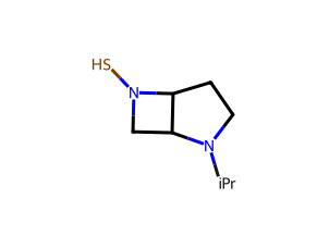 CC(C)N1CCC2C1CN2S